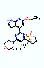 CCOc1cc(-c2nc(N3CCOC[C@H]3C)cc([C@@]3(C)CCCS3(=O)=O)n2)c2cc[nH]c2n1